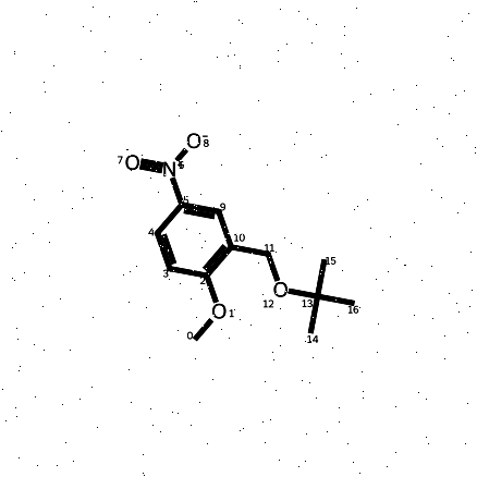 COc1ccc([N+](=O)[O-])cc1COC(C)(C)C